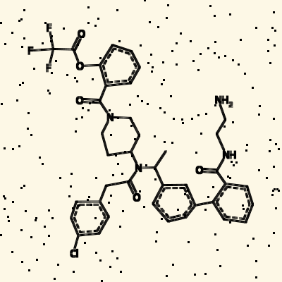 CC(c1cccc(-c2ccccc2C(=O)NCCN)c1)N(C(=O)Cc1ccc(Cl)cc1)C1CCN(C(=O)c2ccccc2OC(=O)C(F)(F)F)CC1